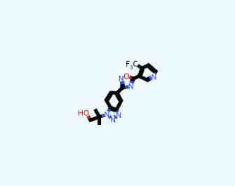 CC(C)(CO)n1nnc2cc(-c3noc(-c4cnccc4C(F)(F)F)n3)ccc21